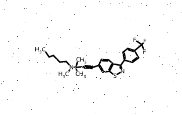 CCCCCN(C)C(C)(C)C#Cc1ccc2c(-c3ccc(C(F)(F)F)cc3)nsc2c1